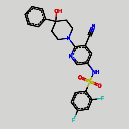 N#Cc1cc(NS(=O)(=O)c2ccc(F)cc2F)cnc1N1CCC(O)(c2ccccc2)CC1